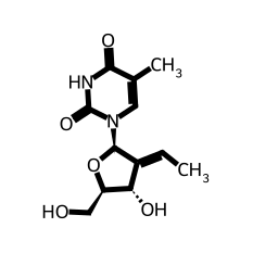 CC=C1[C@H](n2cc(C)c(=O)[nH]c2=O)O[C@H](CO)[C@H]1O